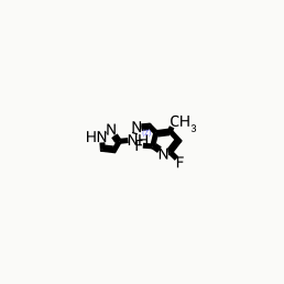 Cc1cc(F)nc(F)c1/C=N\Nc1cc[nH]n1